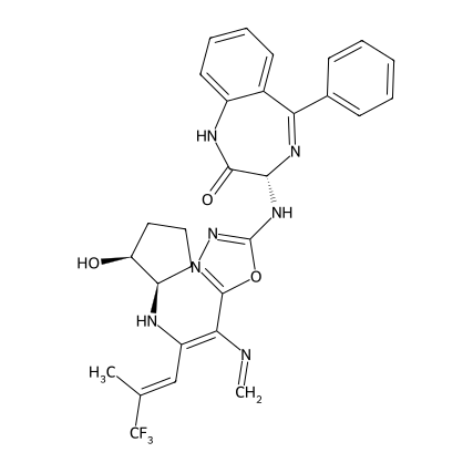 C=N/C(=C(\C=C(/C)C(F)(F)F)N[C@@H]1CCC[C@@H]1O)c1nnc(N[C@H]2N=C(c3ccccc3)c3ccccc3NC2=O)o1